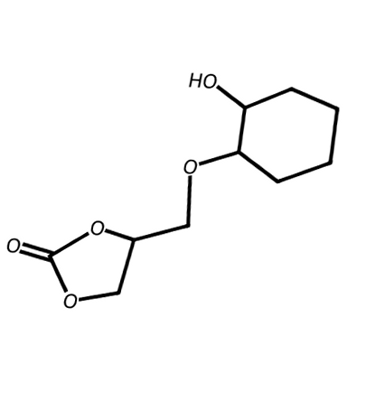 O=C1OCC(COC2CCCCC2O)O1